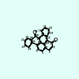 O=C1C=Cc2ccc3c4c(c5ccccc5c1c24)C(=O)c1ccccc1-3